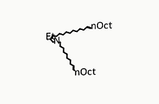 CCC.CCCCCCCCC=CCCCCCCCCC1C=CCN1CCCCCCCCC=CCCCCCCCC